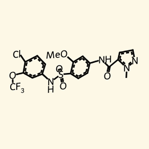 COc1cc(NC(=O)c2ccnn2C)ccc1S(=O)(=O)Nc1ccc(Cl)c(OC(F)(F)F)c1